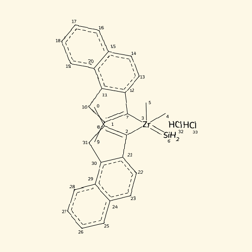 CC1=[C]([Zr]([CH3])([CH3])(=[SiH2])[C]2=C(C)Cc3c2ccc2ccccc32)c2ccc3ccccc3c2C1.Cl.Cl